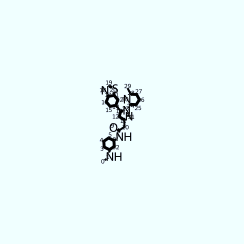 CNc1cccc(NC(=O)Cc2cc(-c3ccc4ncsc4c3)n(-c3cccc(C)n3)n2)c1